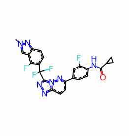 Cn1cc2c(F)c(C(F)(F)c3nnc4ccc(-c5ccc(NC(=O)C6CC6)c(F)c5)nn34)ccc2n1